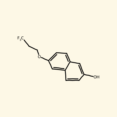 Oc1ccc2cc(OCCC(F)(F)F)ccc2c1